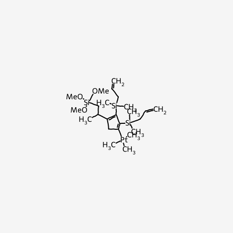 C=CC[Si](C)(C)C1=C(C(C)C[Si](OC)(OC)OC)C[C]([Pt]([CH3])([CH3])[CH3])=C1[Si](C)(C)CC=C